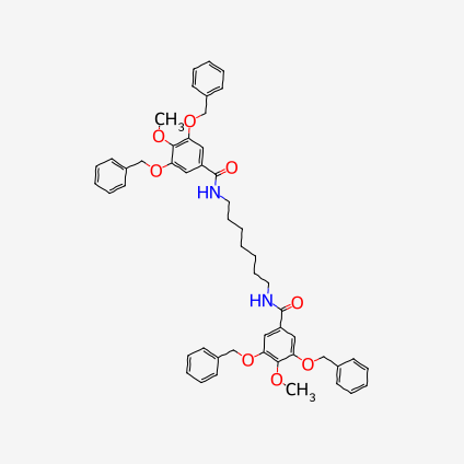 COc1c(OCc2ccccc2)cc(C(=O)NCCCCCCCNC(=O)c2cc(OCc3ccccc3)c(OC)c(OCc3ccccc3)c2)cc1OCc1ccccc1